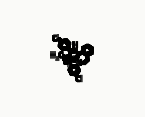 Cn1cncc1C(NC1C(=O)N(c2cccc(Cl)c2)CCc2ccccc21)c1ccc(Cl)cc1